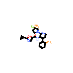 O=C(Nc1c(-c2ccccc2P)ccnc1N1CCC(F)(P)C1)c1cnc(C2CC2)o1